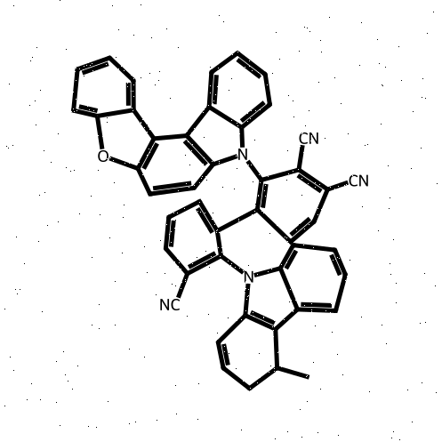 CC1CC=Cc2c1c1ccccc1n2-c1c(C#N)cccc1-c1ccc(C#N)c(C#N)c1-n1c2ccccc2c2c3c(ccc21)oc1ccccc13